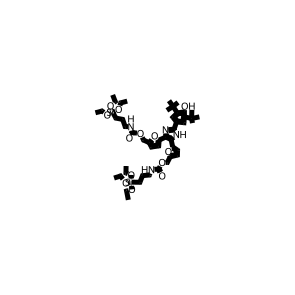 CCO[Si](CCCNC(=O)OCc1ccc(-c2nc(-c3cc(C(C)(C)C)c(O)c(C(C)(C)C)c3)[nH]c2-c2ccc(COC(=O)NCCC[Si](OCC)(OCC)OCC)o2)o1)(OCC)OCC